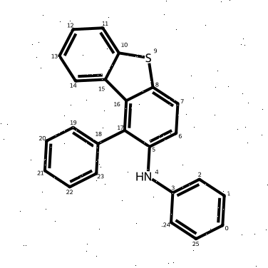 c1ccc(Nc2ccc3sc4ccccc4c3c2-c2ccccc2)cc1